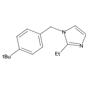 CCc1nccn1Cc1ccc(C(C)(C)C)cc1